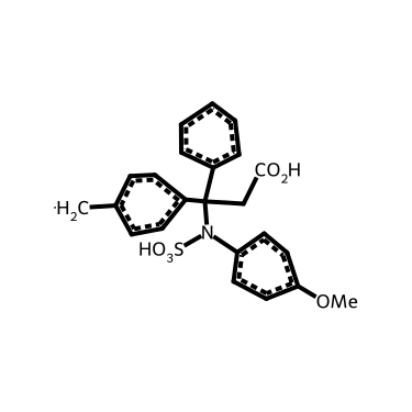 [CH2]c1ccc(C(CC(=O)O)(c2ccccc2)N(c2ccc(OC)cc2)S(=O)(=O)O)cc1